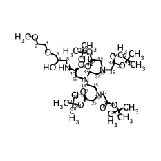 COCCOCC(O)CNC(=O)CN(CCN(CC(=O)OC(C)(C)C)CC(=O)OC(C)(C)C)CCN(CC(=O)OC(C)(C)C)CC(=O)OC(C)(C)C